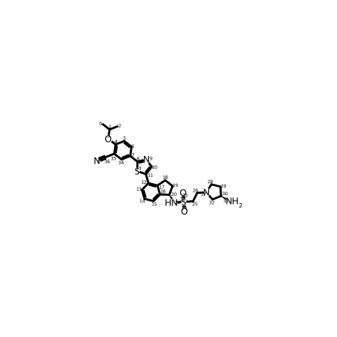 CC(C)Oc1ccc(-c2ncc(-c3cccc4c3CC[C@H]4NS(=O)(=O)CCN3CC[C@@H](N)C3)s2)cc1C#N